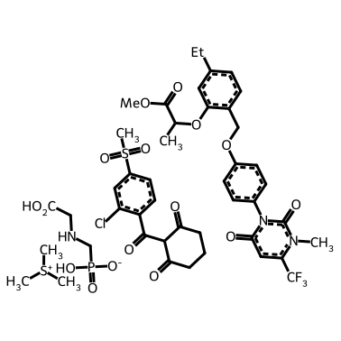 CCc1ccc(COc2ccc(-n3c(=O)cc(C(F)(F)F)n(C)c3=O)cc2)c(OC(C)C(=O)OC)c1.CS(=O)(=O)c1ccc(C(=O)C2C(=O)CCCC2=O)c(Cl)c1.C[S+](C)C.O=C(O)CNCP(=O)([O-])O